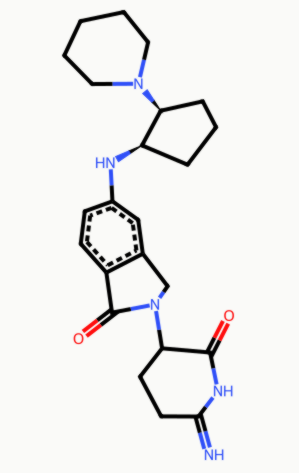 N=C1CCC(N2Cc3cc(N[C@@H]4CCC[C@@H]4N4CCCCC4)ccc3C2=O)C(=O)N1